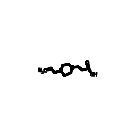 C=CCN1CCN(CCC(=O)O)CC1